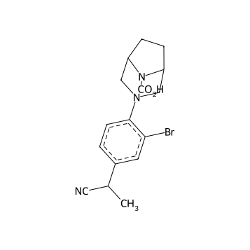 CC(C#N)c1ccc(N2CC3CCC(C2)N3C(=O)O)c(Br)c1